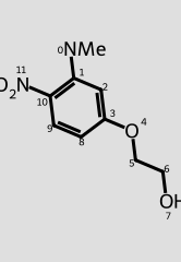 CNc1cc(OCCO)ccc1[N+](=O)[O-]